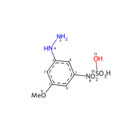 COc1cc(NN)cc([N+](=O)[O-])c1.O=S(=O)(O)O